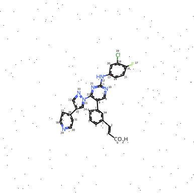 O=C(O)C=Cc1cccc(-c2cnc(Nc3ccc(F)c(Cl)c3)nc2-n2cc(-c3ccncc3)cn2)c1